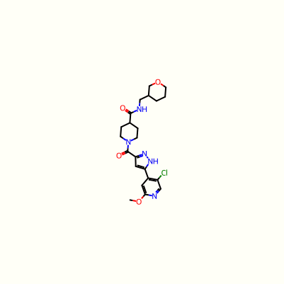 COc1cc(-c2cc(C(=O)N3CCC(C(=O)NCC4CCCOC4)CC3)n[nH]2)c(Cl)cn1